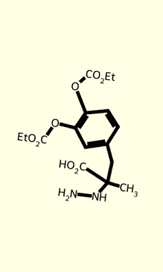 CCOC(=O)Oc1ccc(CC(C)(NN)C(=O)O)cc1OC(=O)OCC